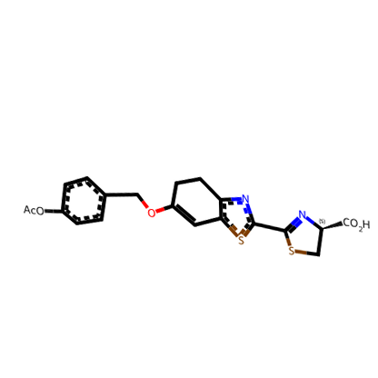 CC(=O)Oc1ccc(COC2=Cc3sc(C4=N[C@@H](C(=O)O)CS4)nc3CC2)cc1